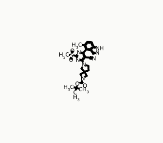 Cc1ccc2[nH]ncc2c1-c1nc(S(C)(=O)=O)nc(N2CCC3(CN(C(=O)OC(C)(C)C)C3)C2)c1C#N